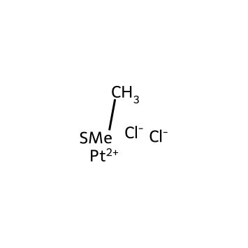 CSC.[Cl-].[Cl-].[Pt+2]